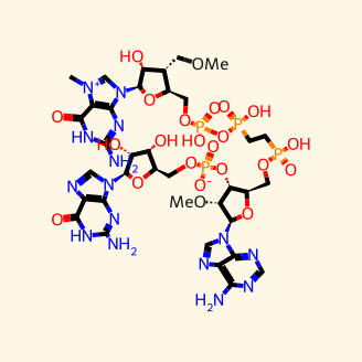 COC[C@H]1[C@@H](O)[C@H](n2c[n+](C)c3c(=O)[nH]c(N)nc32)O[C@@H]1COP(=O)(O)OP(=O)(O)CCP(=O)(O)OC[C@H]1O[C@@H](n2cnc3c(N)ncnc32)[C@H](OC)[C@@H]1OP(=O)([O-])OC[C@H]1O[C@@H](n2cnc3c(=O)[nH]c(N)nc32)[C@H](O)[C@@H]1O